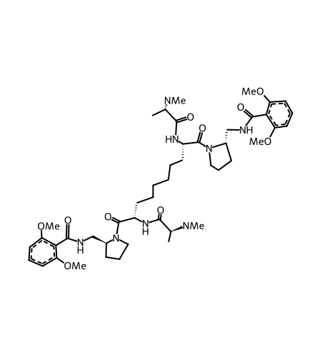 CN[C@@H](C)C(=O)N[C@@H](CCCCCC[C@H](NC(=O)[C@H](C)NC)C(=O)N1CCC[C@H]1CNC(=O)c1c(OC)cccc1OC)C(=O)N1CCC[C@H]1CNC(=O)c1c(OC)cccc1OC